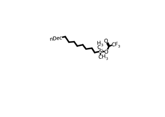 CCCCCCCCCCCCCCCCCC[Si](C)(C)OC(=O)C(F)(F)F